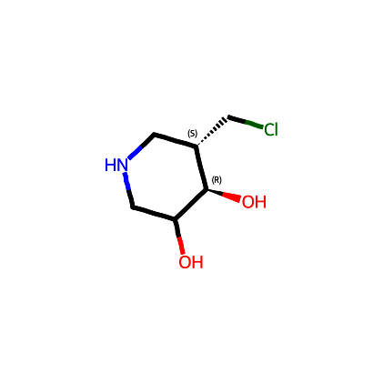 OC1CNC[C@H](CCl)[C@H]1O